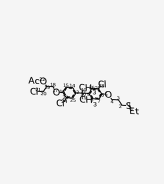 CCSCCCOc1ccc(C(C)(C)c2ccc(OCC(CCl)OC(C)=O)c(Cl)c2)cc1Cl